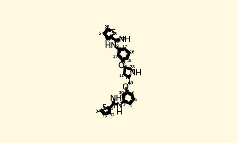 N=C(Nc1cccc(OC[C@@H]2C[C@@H](Oc3cccc(NC(=N)c4cccs4)c3)CN2)c1)c1cccs1